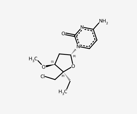 CC[C@@]1(CCl)O[C@@H](n2ccc(N)nc2=O)C[C@@H]1OC